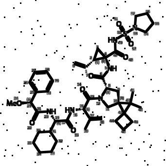 C=C[C@@H]1C[C@]1(NC(=O)[C@@H]1C[C@@]2(CN1C(=O)[C@@H](NC(=O)[C@@H](NC(=O)[C@@H](OC)c1ccccc1)C1CCCCC1)C(=C)C)C(C)(C)C21CCC1)C(=O)NS(=O)(=O)N1CCCC1